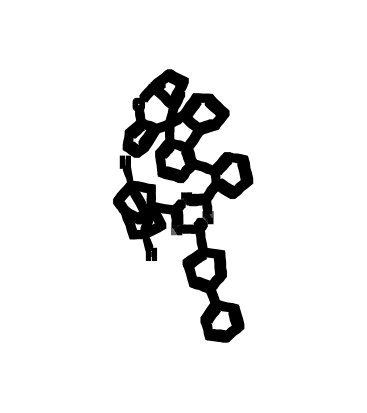 c1ccc(-c2ccc(-c3nc(-c4ccccc4-c4cccc5c4-c4ccccc4C54c5ccccc5Oc5ccccc54)nc(C45CC6C[C@H](C4)C[C@@H](C6)C5)n3)cc2)cc1